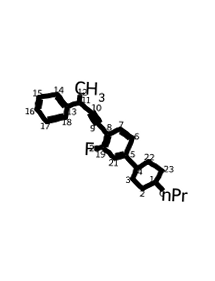 CCCC1CCC(c2ccc(C#CC(C)c3ccccc3)c(F)c2)CC1